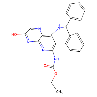 CCOC(=O)Nc1cc(NC(c2ccccc2)c2ccccc2)c2ncc(O)nc2n1